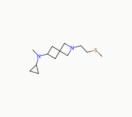 CSCCN1CC2(CC(N(C)C3CC3)C2)C1